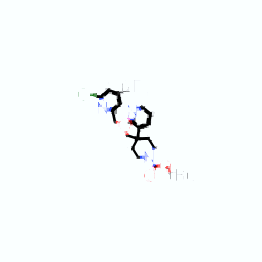 CC(C)(C)OC(=O)N1CCC(COCc2cc(C(F)(F)F)cc(Cl)n2)(c2cccnc2)CC1